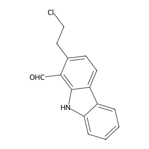 O=Cc1c(CCCl)ccc2c1[nH]c1ccccc12